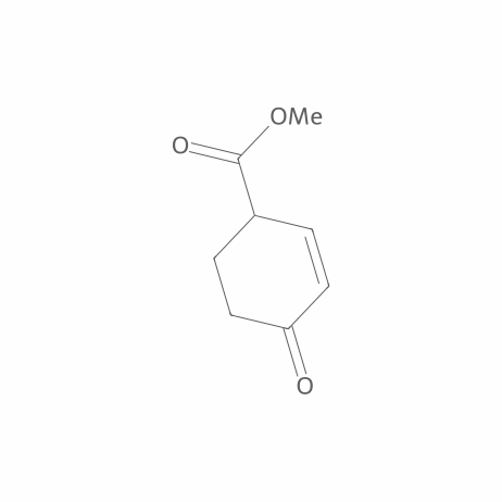 COC(=O)C1C=CC(=O)CC1